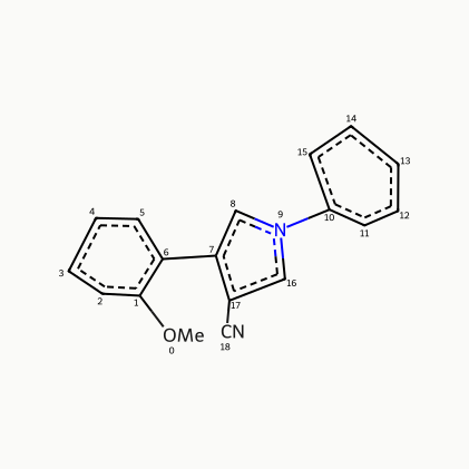 COc1ccccc1-c1cn(-c2ccccc2)cc1C#N